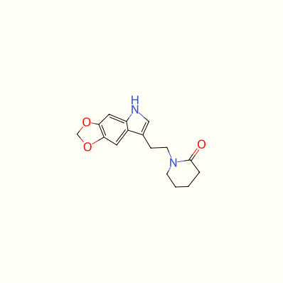 O=C1CCCCN1CCc1c[nH]c2cc3c(cc12)OCO3